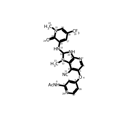 CC(=O)Nc1cc(Oc2cnc3c(c2C#N)N(C)C(Nc2cc(C(F)(F)F)cn(C)c2=O)N3)ccn1